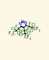 FC(F)(F)C(Cl)(Cl)C(F)(F)c1nnnc(C(F)(F)C(Cl)(Cl)C(F)(F)F)c1C(F)(F)C(Cl)(Cl)C(F)(F)F